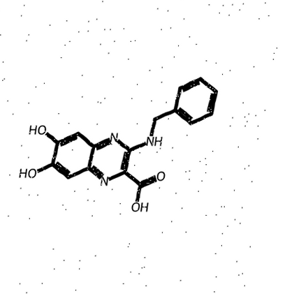 O=C(O)c1nc2cc(O)c(O)cc2nc1NCc1ccccc1